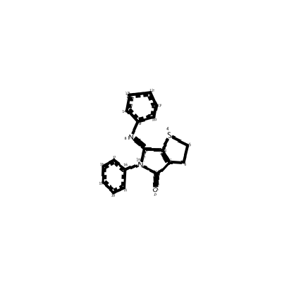 O=C1C2=C(SCC2)/C(=N\c2ccccc2)N1c1ccccc1